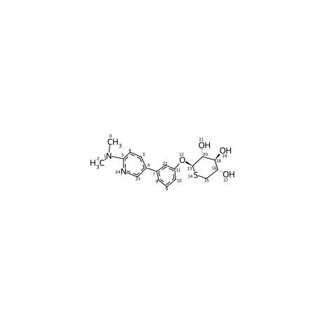 CN(C)c1ccc(-c2cccc(O[C@@H]3SC[C@@H](O)[C@H](O)[C@H]3O)c2)cn1